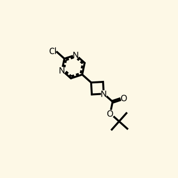 CC(C)(C)OC(=O)N1CC(c2cnc(Cl)nc2)C1